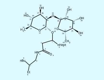 CCCCCCCC(CC(=O)NCC(CC)CCCC)O[C@@H]1O[C@@H](C)[C@H](O)[C@@H](O)[C@H]1O[C@@H]1O[C@@H](C)[C@H](O)[C@@H](O)[C@H]1O